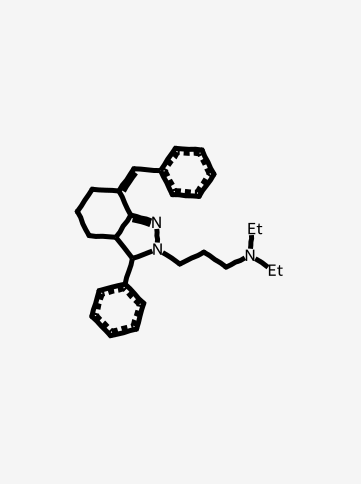 CCN(CC)CCCN1N=C2/C(=C\c3ccccc3)CCCC2C1c1ccccc1